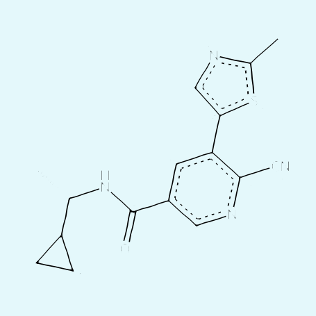 Cc1ncc(-c2cc(C(=O)N[C@@H](C)C3CC3)cnc2C#N)s1